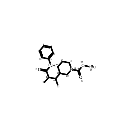 CC(C(=O)Nc1ccccc1)C(C)C1CCCN(C(=O)OC(C)(C)C)C1